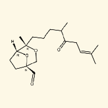 CC(C)=CCC(=O)C(C)CCC[C@]1(C)OC[C@]2(C=O)CC[C@H]1O2